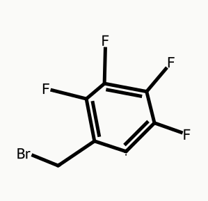 Fc1[c]c(CBr)c(F)c(F)c1F